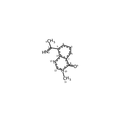 CC(=N)c1cccc2c(=O)n(C)cnc12